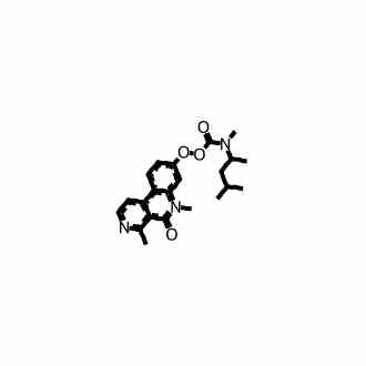 Cc1nccc2c1c(=O)n(C)c1cc(OOC(=O)N(C)C(C)CC(C)C)ccc21